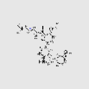 CCOc1ncc(-c2cnc3[nH]cc(-c4ccnc(OC)c4)c3c2)cc1NC(=O)/C=C/CN(C)C